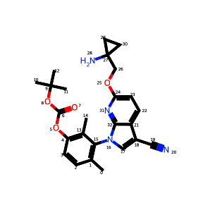 Cc1ccc(OC(=O)OC(C)(C)C)c(C)c1-n1[c]c(C#N)c2ccc(OCC3(N)CC3)nc21